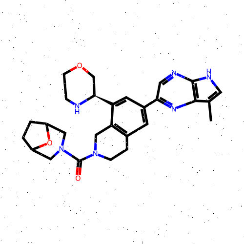 Cc1c[nH]c2ncc(-c3cc4c(c([C@@H]5COCCN5)c3)CN(C(=O)N3CC5CCC(C3)O5)CC4)nc12